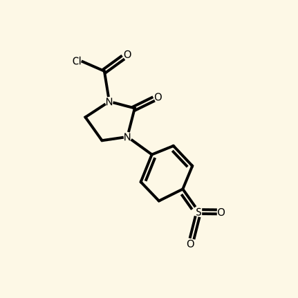 O=C(Cl)N1CCN(C2=CCC(=S(=O)=O)C=C2)C1=O